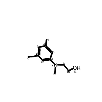 Cc1cc(C)cc(N(C)CCO)c1